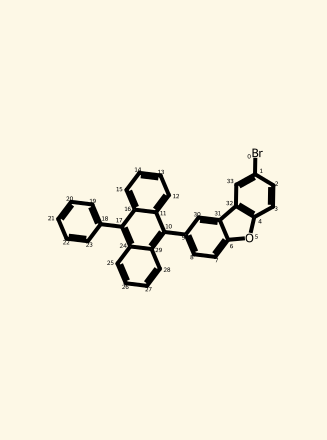 Brc1ccc2oc3ccc(-c4c5ccccc5c(-c5ccccc5)c5ccccc45)cc3c2c1